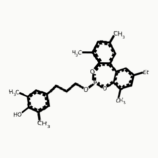 CCc1cc(C)c2op(OCCCc3cc(C)c(O)c(C)c3)oc3c(C)cc(C)cc3c2c1